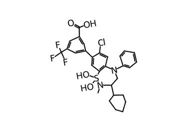 CN1C(C2CCCCC2)CN(c2ccccc2)c2cc(Cl)c(-c3cc(C(=O)O)cc(C(F)(F)F)c3)cc2S1(O)O